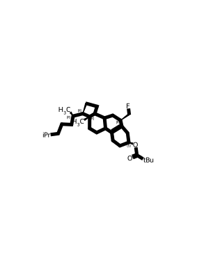 CC(C)CCC[C@@H](C)[C@H]1CCC2C3C[C@@H](CF)C4=C(CC[C@H](OC(=O)C(C)(C)C)C4)C3CC[C@@]21C